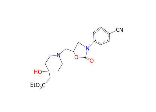 CCOC(=O)CC1(O)CCN(CC2CN(c3ccc(C#N)cc3)C(=O)O2)CC1